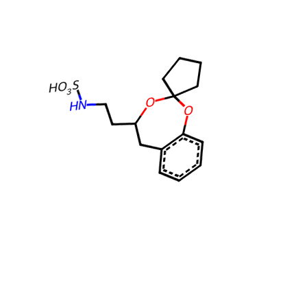 O=S(=O)(O)NCCC1Cc2ccccc2OC2(CCCC2)O1